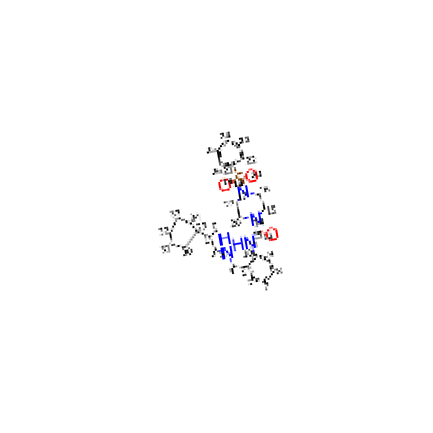 CC(CNCc1ccccc1NC(=O)N1CCN(S(=O)(=O)c2ccccc2)CC1)C1CCCCC1